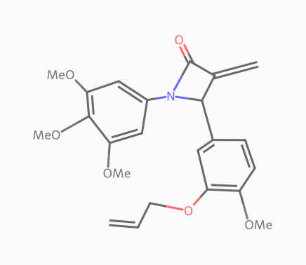 C=CCOc1cc(C2C(=C)C(=O)N2c2cc(OC)c(OC)c(OC)c2)ccc1OC